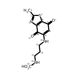 Cc1nc2c(s1)C(=O)C=C(NCCCNC(=O)O)C2=O